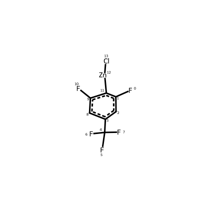 Fc1cc(C(F)(F)F)cc(F)[c]1[Zn][Cl]